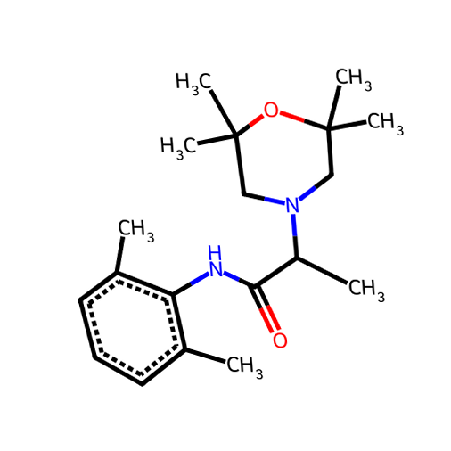 Cc1cccc(C)c1NC(=O)C(C)N1CC(C)(C)OC(C)(C)C1